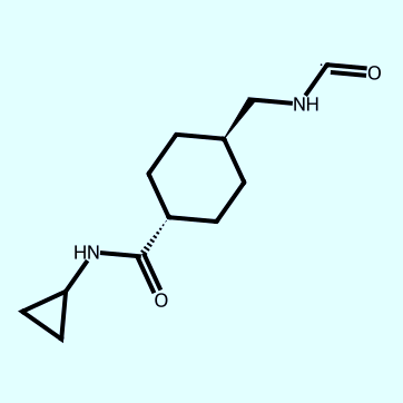 O=[C]NC[C@H]1CC[C@H](C(=O)NC2CC2)CC1